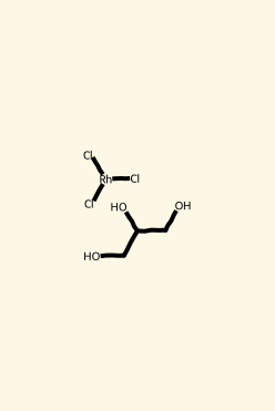 OCC(O)CO.[Cl][Rh]([Cl])[Cl]